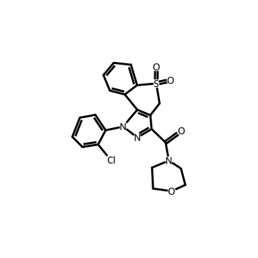 O=C(c1nn(-c2ccccc2Cl)c2c1CS(=O)(=O)c1ccccc1-2)N1CCOCC1